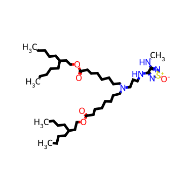 CCCCCC(CCCCC)CCOC(=O)CCCCCCCN(CCCCCCCC(=O)OCCC(CCCC)CCCC)CCCNc1n[s+]([O-])nc1NC